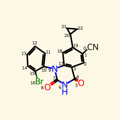 N#Cc1cc2c(=O)[nH]c(=O)n(-c3ccccc3Br)c2cc1C1CC1